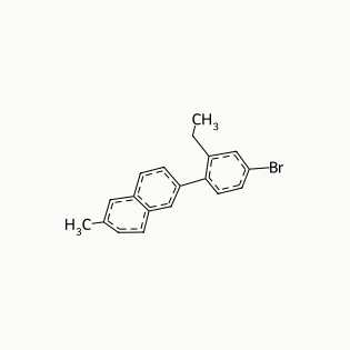 CCc1cc(Br)ccc1-c1ccc2cc(C)ccc2c1